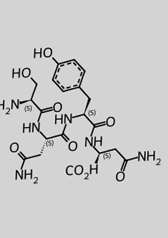 NC(=O)C[C@H](NC(=O)[C@H](Cc1ccc(O)cc1)NC(=O)[C@H](CC(N)=O)NC(=O)[C@@H](N)CO)C(=O)O